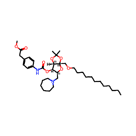 CCCCCCCCCCCCOC[C@@]12O[C@@H](CN3CCCCCC3)[C@@H](OC(=O)Nc3ccc(CC(=O)OC)cc3)[C@@H]1OC(C)(C)O2